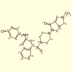 CN1C=C2C(=O)N(N3CCN(C(=O)C(OC(=O)Nc4ccc(Cl)cc4)c4ccccc4)CC3)CN2C1